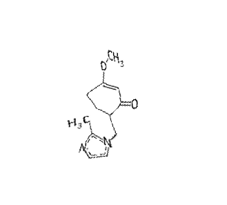 COC1=CC(=O)C(Cn2ccnc2C)CC1